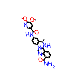 COc1cc(C(=O)Nc2cccc([C@@H](C)Nc3ncnc4c(C(N)=O)cccc34)c2)cnc1OC